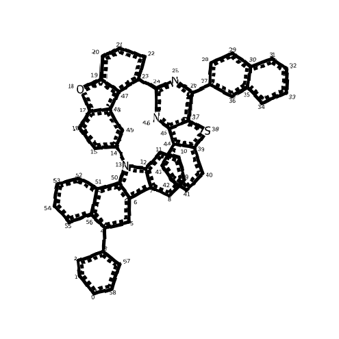 c1ccc(-c2cc3c4ccccc4n(-c4ccc5oc6cccc(-c7nc(-c8ccc9ccccc9c8)c8sc9ccccc9c8n7)c6c5c4)c3c3ccccc23)cc1